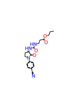 CCCOC(=O)CCNC(=O)N[C@H]1CCN(c2ccc(C#N)cc2)C1=O